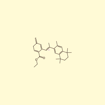 CCOC(=O)C1=CCC(=S)C=C1/C=C(\C)c1cc2c(cc1C)C(C)(C)CCC2(C)C